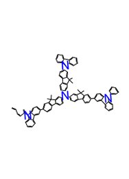 C=C/C=C\C(=C)n1c2ccccc2c2cc(-c3ccc4c(c3)C(C)(C)c3cc(N(c5ccc6c(c5)C(C)(C)c5cc(-c7ccc8c(c7)c7ccccc7n8-c7ccccc7)ccc5-6)c5ccc6c(c5)C(C)(C)c5cc(-n7c8ccccc8c8ccccc87)ccc5-6)ccc3-4)ccc21